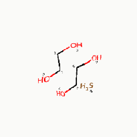 OCCO.OCCO.S